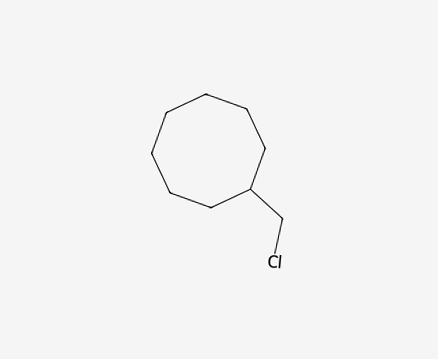 ClCC1CCCCCCC1